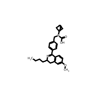 CCCCC1Cc2cc(OC)ccc2C(c2ccc(CN(C(=O)O)C34CC(C3)C4)cc2)=N1